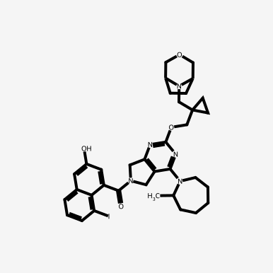 CC1CCCCCN1c1nc(OCC2(CN3C4CCC3COC4)CC2)nc2c1CN(C(=O)c1cc(O)cc3cccc(I)c13)C2